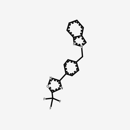 FC(F)(F)c1nc(-c2ccc(Cn3cc4ccccc4n3)cc2)no1